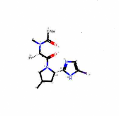 COC(=O)N(C)[C@H](C(=O)N1CC(C)C[C@H]1c1ncc(I)[nH]1)C(C)C